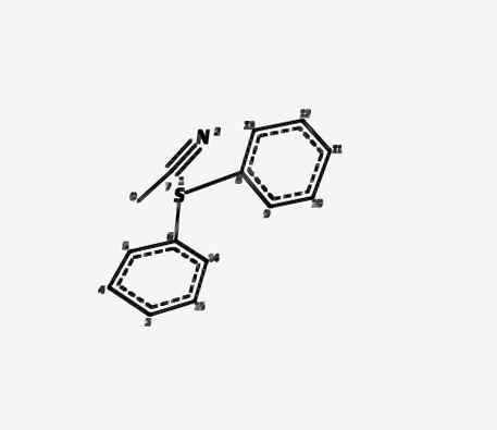 CC#N.c1ccc(Sc2ccccc2)cc1